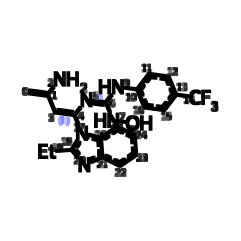 C=C(N)/C=C(\N=C(/NO)Nc1ccc(C(F)(F)F)cc1)n1c(CC)nc2ccccc21